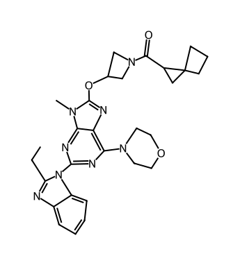 CCc1nc2ccccc2n1-c1nc(N2CCOCC2)c2nc(OC3CN(C(=O)C4CC45CCC5)C3)n(C)c2n1